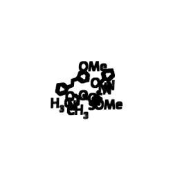 COc1cccc(CCc2ccccc2OCC(CN(C)C)OCOP(=S)(OC)SCn2nnc3ccccc3c2=O)c1